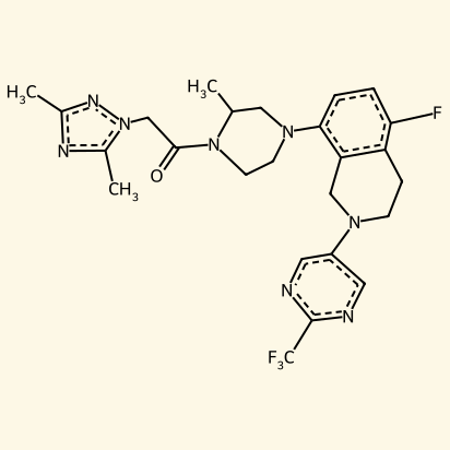 Cc1nc(C)n(CC(=O)N2CCN(c3ccc(F)c4c3CN(c3cnc(C(F)(F)F)nc3)CC4)CC2C)n1